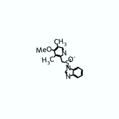 COc1c(C)cnc(C[S+]([O-])n2cnc3ccccc32)c1C